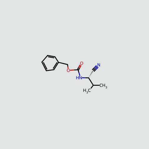 CC(C)[C@@H](C#N)NC(=O)OCc1ccccc1